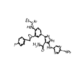 CC[S+]([O-])Nc1ccc(-c2n[nH]c(Nc3cnc(C(C)C)cn3)c2C(N)=O)cc1OCc1ccc(F)cc1